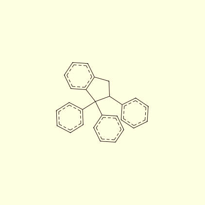 c1ccc(C2Cc3ccccc3C2(c2ccccc2)c2ccccc2)cc1